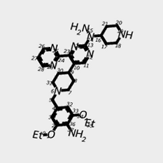 CCOc1cc(CN2CCC(c3cnc(N(N)C4CCNCC4)nc3-c3ncccn3)CC2)cc(OCC)c1N